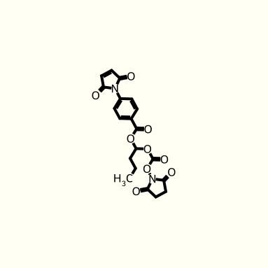 CCCC(OC(=O)ON1C(=O)CCC1=O)OC(=O)c1ccc(N2C(=O)C=CC2=O)cc1